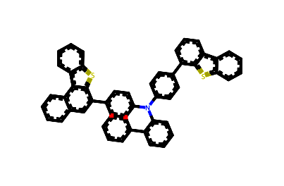 c1ccc(-c2ccccc2N(c2ccc(-c3cccc4c3sc3ccccc34)cc2)c2ccc(-c3cc4ccccc4c4c3sc3ccccc34)cc2)cc1